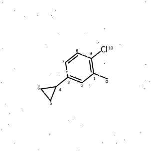 Cc1cc(C2CC2)ccc1Cl